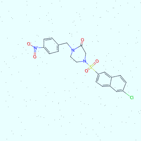 O=C1CN(S(=O)(=O)c2ccc3cc(Cl)ccc3c2)CCN1Cc1ccc([N+](=O)[O-])cc1